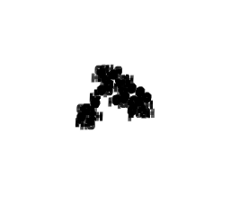 COc1ccc(-c2nc(NC(CO)CO)nc3c2ccc(=O)n3-c2ccc(F)cc2F)cc1.COc1ccccc1-c1nc(NC(CO)CO)nc2c1ccc(=O)n2-c1ccc(F)cc1F.O=c1ccc2c(-c3ccc(F)c(F)c3)nc(NC(CO)CO)nc2n1-c1ccc(F)cc1F.O=c1ccc2c(-c3ccccc3-c3ccccc3)nc(NC(CO)CO)nc2n1-c1ccc(F)cc1F